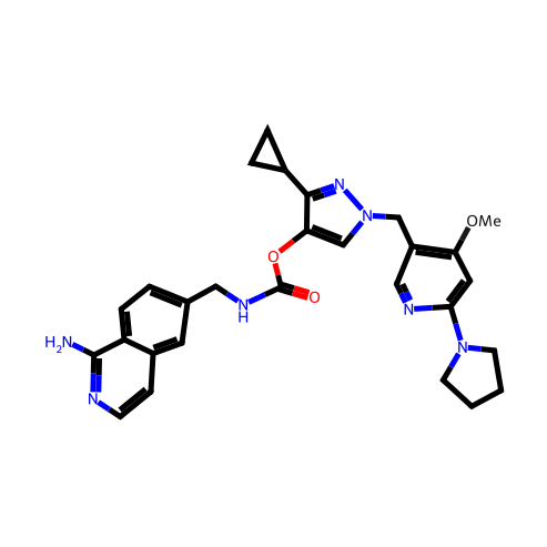 COc1cc(N2CCCC2)ncc1Cn1cc(OC(=O)NCc2ccc3c(N)nccc3c2)c(C2CC2)n1